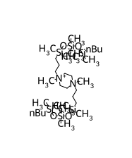 CCCC[Si](C)(C)O[Si](C)(C)O[Si](C)(C)CCC[N+]1(C)CC[N+](C)(CCC[Si](C)(C)O[Si](C)(C)O[Si](C)(C)CCCC)CC1